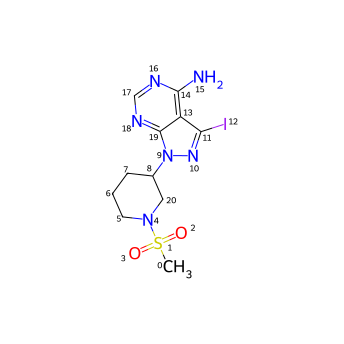 CS(=O)(=O)N1CCCC(n2nc(I)c3c(N)ncnc32)C1